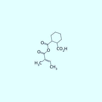 CC=C(C)C(=O)OC(=O)C1CCCCC1C(=O)O